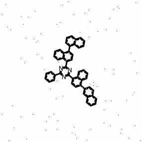 c1ccc(-c2nc(-c3ccc(-c4ccc5ccccc5c4)c4ccccc34)nc(-c3ccc(-c4cccc5ccccc45)c4ccccc34)n2)cc1